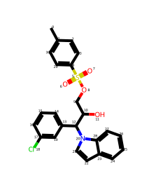 Cc1ccc(S(=O)(=O)OCC(O)C(c2cccc(Cl)c2)n2ccc3ccccc32)cc1